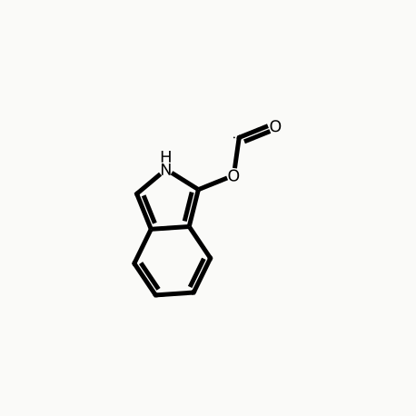 O=[C]Oc1[nH]cc2ccccc12